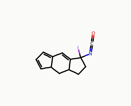 O=C=NC1(I)CCC2CC3C=CC=C3C=C21